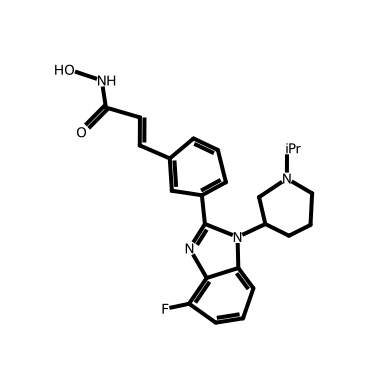 CC(C)N1CCCC(n2c(-c3cccc(C=CC(=O)NO)c3)nc3c(F)cccc32)C1